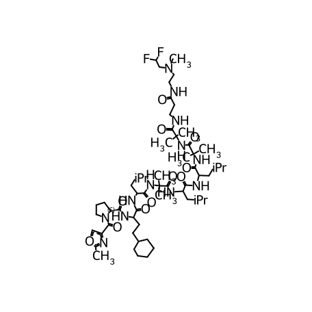 Cc1nc(C(=O)N2CCC[C@H]2C(=O)NC(CCC2CCCCC2)C(=O)NC(CC(C)C)C(=O)NC(C)(C)C(=O)NC(CC(C)C)C(=O)NC(CC(C)C)C(=O)NC(C)(C)C(=O)NC(C)(C)C(=O)NCCC(=O)NCCN(C)CC(F)F)co1